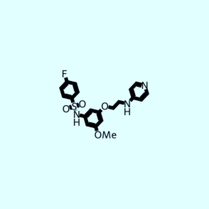 COc1cc(NS(=O)(=O)c2ccc(F)cc2)cc(OCCNc2ccncc2)c1